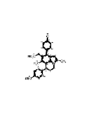 COc1cnc(N2CCn3c(C)cc4c(-c5ccc(Cl)cc5)c(CC(=O)O)c(C)c2c43)nc1